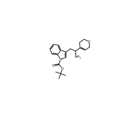 CC(C)(C)OC(=O)n1cc(CC(N)C2=CCOCC2)c2ccccc21